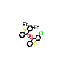 CCc1cc(CC)c2sc3ccccc3c(=O)c2c1.O=c1c2ccccc2sc2ccc(Cl)cc12